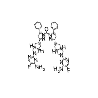 Nc1nc(N2C[C@H]3C[C@H](C4=NN(C(=O)N5N=C([C@H]6C[C@@H]7CN(c8ncc(F)c(N)n8)C[C@@H]7C6)C[C@@H]5c5ccccc5)[C@@H](c5ccccc5)C4)C[C@H]3C2)ncc1F